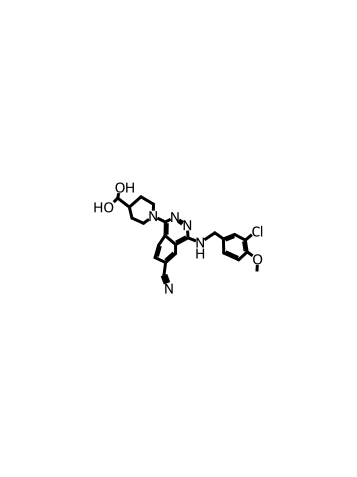 COc1ccc(CNc2nnc(N3CCC(C(O)O)CC3)c3ccc(C#N)cc23)cc1Cl